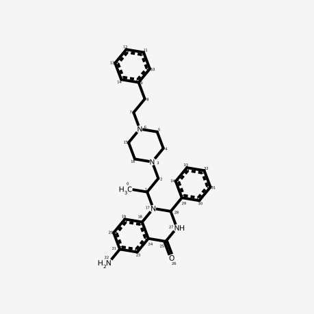 CC(CN1CCN(CCc2ccccc2)CC1)N1c2ccc(N)cc2C(=O)NC1c1ccccc1